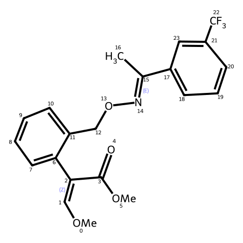 CO/C=C(\C(=O)OC)c1ccccc1CO/N=C(\C)c1cccc(C(F)(F)F)c1